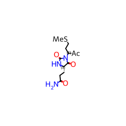 CSCC[C@@H](C(C)=O)N1C(=O)N[C@@H](CCC(N)=O)C1=O